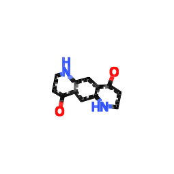 O=c1cc[nH]c2cc3c(=O)cc[nH]c3cc12